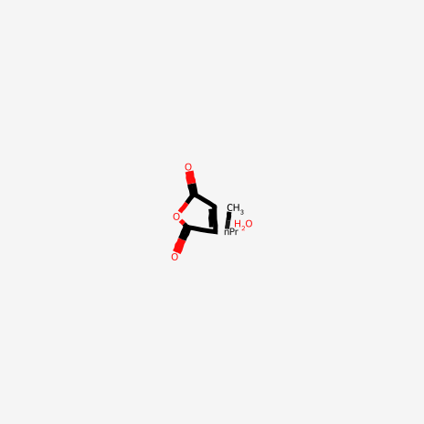 CCCC.O.O=C1C=CC(=O)O1